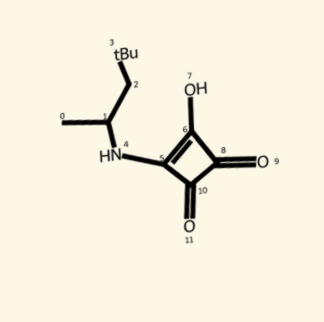 CC(CC(C)(C)C)Nc1c(O)c(=O)c1=O